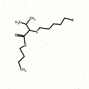 CCCCOC(=O)C(SCCCCCF)C(C)C